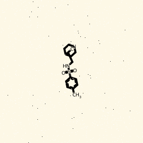 Cc1ccc(S(=O)(=O)NCC2CN3CCC2CC3)cc1